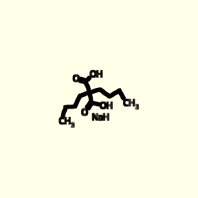 CCCCC(CCCC)(C(=O)O)C(=O)O.[NaH]